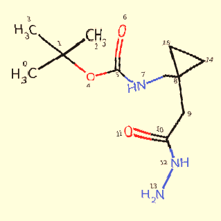 CC(C)(C)OC(=O)NC1(CC(=O)NN)CC1